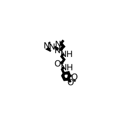 Cc1cc(NCCC(=O)NCc2ccc3c(c2)OCO3)nc(-n2ccnc2)n1